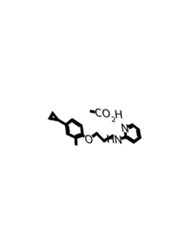 CC(=O)O.Cc1cc(C2CC2)ccc1OCCCNc1ccccn1